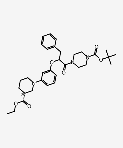 CCOC(=O)[C@@H]1CCCN(c2cccc(OC(Cc3ccccc3)C(=O)N3CCN(C(=O)OC(C)(C)C)CC3)c2)C1